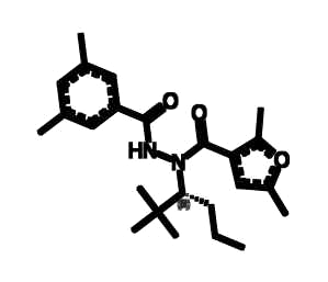 CCC[C@@H](N(NC(=O)c1cc(C)cc(C)c1)C(=O)c1cc(C)oc1C)C(C)(C)C